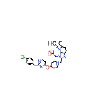 O=C(O)c1ccc2nc(CN3CCC(Oc4ccnc(Cc5ccc(Cl)cc5)n4)CC3)n(CC3CCO3)c2n1